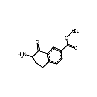 CC(C)(C)OC(=O)c1ccc2c(c1)C(=O)C(N)CC2